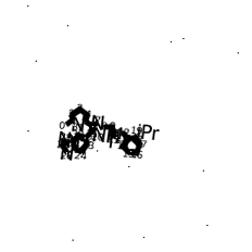 Cc1cccc(-c2nc(CN(I)Cc3ccccc3C(C)C)[nH]c2-c2ccc3ncnn3c2)n1